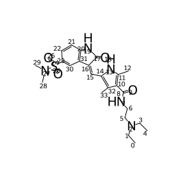 CCN(CC)CCNC(=O)c1c(C)[nH]c(C=C2C(=O)Nc3ccc(S(=O)(=O)N(C)C)cc32)c1C